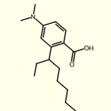 CCCCCC(CC)c1cc(N(C)C)ccc1C(=O)O